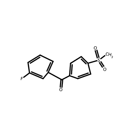 CS(=O)(=O)c1ccc(C(=O)c2cccc(F)c2)cc1